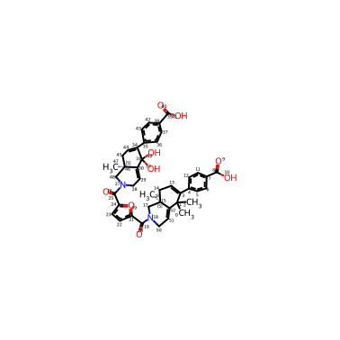 CC1(C)C(c2ccc(C(=O)O)cc2)=CC[C@]2(C)CN(C(=O)c3ccc(C(=O)N4CC=C5C(O)(O)C(c6ccc(C(=O)O)cc6)=CC[C@]5(C)C4)o3)CC=C12